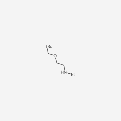 CCNCCOCC(C)(C)C